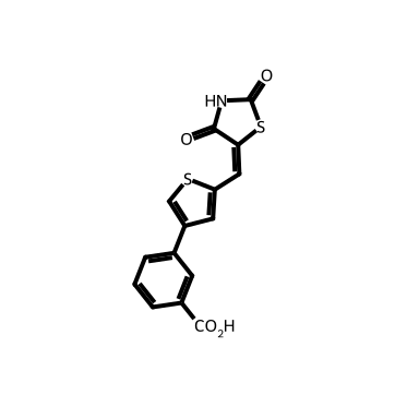 O=C1NC(=O)/C(=C\c2cc(-c3cccc(C(=O)O)c3)cs2)S1